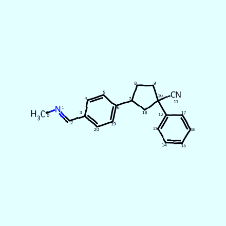 C/N=C/c1ccc(C2CCC(C#N)(c3ccccc3)C2)cc1